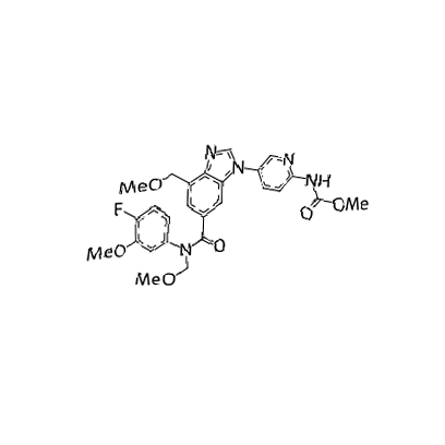 COCc1cc(C(=O)N(COC)c2ccc(F)c(OC)c2)cc2c1ncn2-c1ccc(NC(=O)OC)nc1